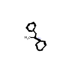 C/C(Cc1ccccc1)=C1/C=[C][CH]C=C1